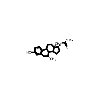 CCCCCCC(=O)O[C@H]1CCC2C3C(CC[C@@]21C)c1ccc(O)cc1C[C@H]3C